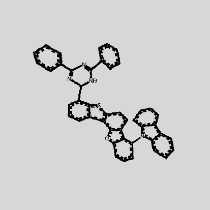 c1ccc(C2=NC(c3cccc4c3sc3ccc5c(oc6cccc(-n7c8ccccc8c8ccccc87)c65)c34)NC(c3ccccc3)=N2)cc1